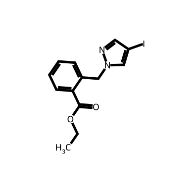 CCOC(=O)c1ccccc1Cn1cc(I)cn1